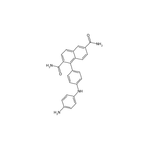 NC(=O)c1ccc2c(-c3ccc(Nc4ccc(N)cc4)cc3)c(C(N)=O)ccc2c1